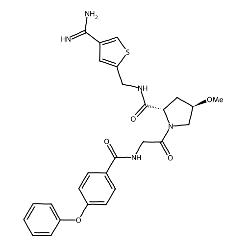 CO[C@@H]1C[C@@H](C(=O)NCc2cc(C(=N)N)cs2)N(C(=O)CNC(=O)c2ccc(Oc3ccccc3)cc2)C1